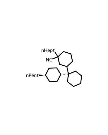 CCCCCCCC1(C#N)CCCC(C2([C@H]3CC[C@H](CCCCC)CC3)CCCCC2)C1